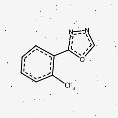 FC(F)(F)c1ccccc1-c1nn[c]o1